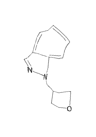 c1ccc2c(c1)cnn2C1COC1